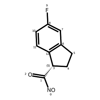 O=NC(=O)[C@H]1CCc2cc(F)ccc21